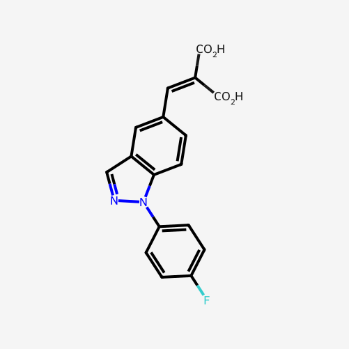 O=C(O)C(=Cc1ccc2c(cnn2-c2ccc(F)cc2)c1)C(=O)O